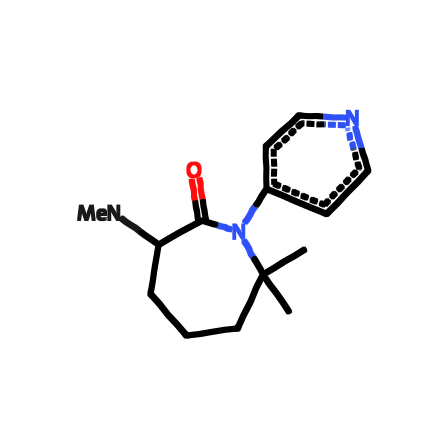 CNC1CCCC(C)(C)N(c2ccncc2)C1=O